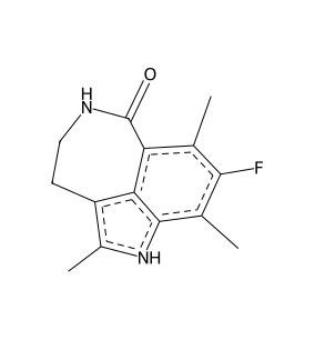 Cc1[nH]c2c(C)c(F)c(C)c3c2c1CCNC3=O